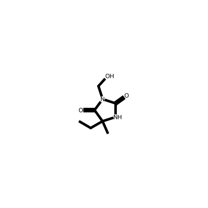 CCC1(C)NC(=O)N(CO)C1=O